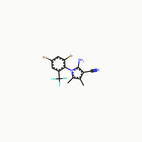 Cc1c(C#N)c(N)n(-c2c(Br)cc(Br)cc2C(F)(F)F)c1C